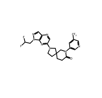 O=C1CCC2(CCN(c3cnc4cnn(CC(F)F)c4n3)C2)CN1c1cncc(C(F)(F)F)c1